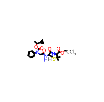 CC(OC(=O)N(CC(=O)NC1C(=O)N2C(C(=O)OCC(Cl)(Cl)Cl)C(C)(C)S[C@@H]12)c1ccccc1)C1CC1